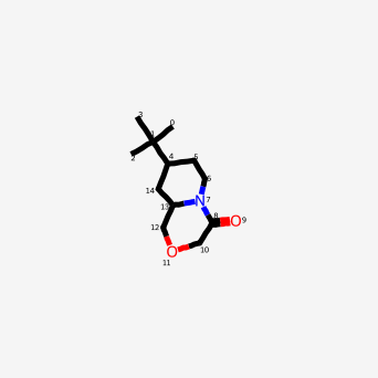 CC(C)(C)C1CCN2C(=O)COCC2C1